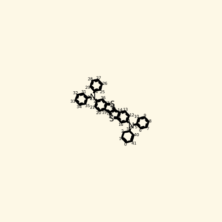 C1=CCC(N(c2ccccc2)c2ccc3c(c2)sc2c4ccc(N(c5ccccc5)c5ccccc5)cc4sc32)C=C1